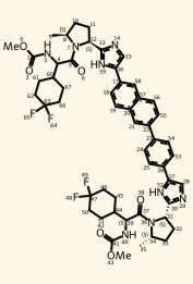 COC(=O)NC(C(=O)N1[C@@H](C)CC[C@H]1c1ncc(-c2ccc3cc(-c4ccc(-c5cnc([C@@H]6CC[C@H](C)N6C(=O)[C@@H](NC(=O)OC)C6CCC(F)(F)CC6)[nH]5)cc4)ccc3c2)[nH]1)C1CCC(F)(F)CC1